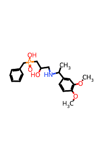 COc1ccc(C(C)NCC(O)CP(=O)(O)Cc2ccccc2)cc1OC